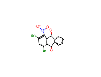 O=C1c2ccccc2C(=O)c2c1c(Br)cc(Br)c2[N+](=O)[O-]